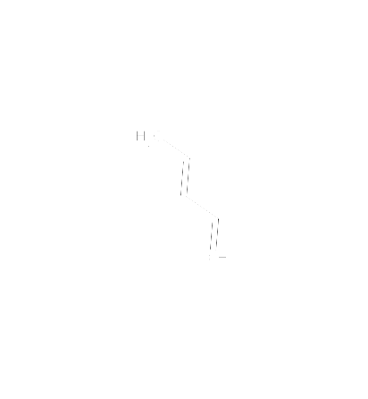 [CH2]/C=[C]/C=C